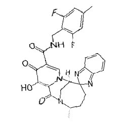 Cc1cc(F)c(CNC(=O)c2cn3c(c(O)c2=O)C(=O)N2C[C@@H]3C3(CC[C@@H]2C)N=c2ccccc2=N3)c(F)c1